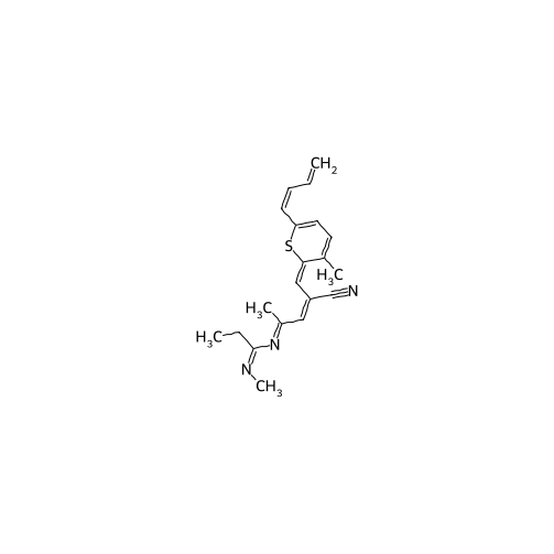 C=C/C=C\C1=CC=C(C)\C(=C/C(C#N)=C\C(C)=N\C(CC)=N/C)S1